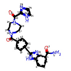 NC(=O)c1cccc2[nH]c(-c3ccc(C(=O)N4CCN(C(=O)c5ncc[nH]5)CC4)cc3)nc12